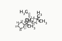 CCCC1C2CC(CC1[Si](C)(C)c1ccccc1)C2(C)C